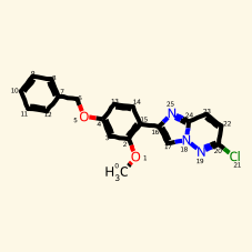 COc1cc(OCc2ccccc2)ccc1-c1cn2nc(Cl)ccc2n1